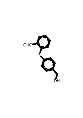 O=Cc1ccccc1Sc1ccc(CO)cc1